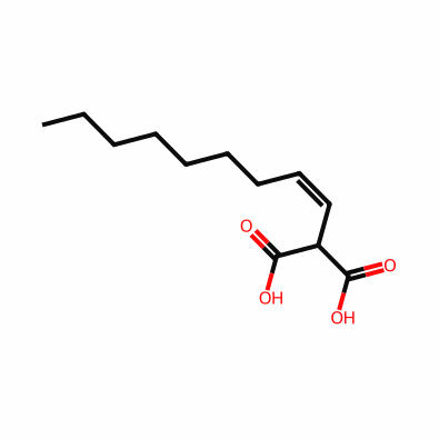 CCCCCCC/C=C\C(C(=O)O)C(=O)O